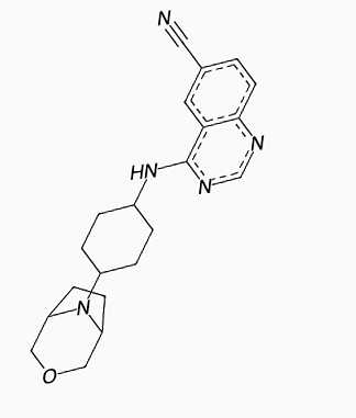 N#Cc1ccc2ncnc(NC3CCC(N4C5CCC4COC5)CC3)c2c1